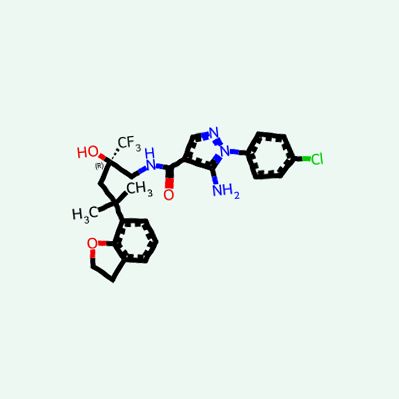 CC(C)(C[C@@](O)(CNC(=O)c1cnn(-c2ccc(Cl)cc2)c1N)C(F)(F)F)c1cccc2c1OCC2